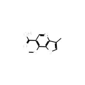 CSc1c(C(=O)O)cnc2c(C)csc12